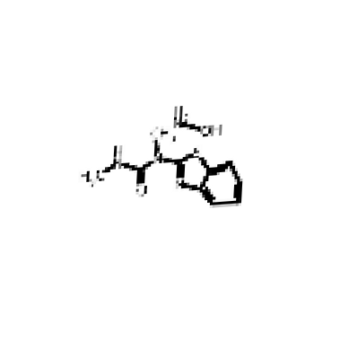 CNC(=O)N(C)c1nc2ccccc2s1.NO